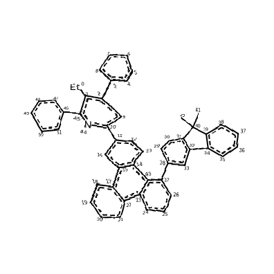 CCc1c(-c2ccccc2)cc(-c2ccc3c(c2)c2ccccc2c2cccc(-c4ccc5c(c4)-c4ccccc4C5(C)C)c23)nc1-c1ccccc1